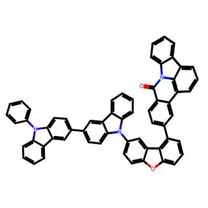 O=c1c2ccc(-c3cccc4oc5ccc(-n6c7ccccc7c7cc(-c8ccc9c(c8)c8ccccc8n9-c8ccccc8)ccc76)cc5c34)cc2c2cccc3c4ccccc4n1c23